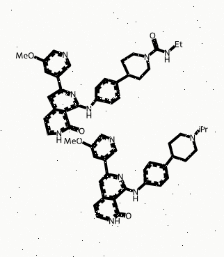 CCNC(=O)N1CCC(c2ccc(Nc3nc(-c4cncc(OC)c4)cc4cc[nH]c(=O)c34)cc2)CC1.COc1cncc(-c2cc3cc[nH]c(=O)c3c(Nc3ccc(C4CCN(C(C)C)CC4)cc3)n2)c1